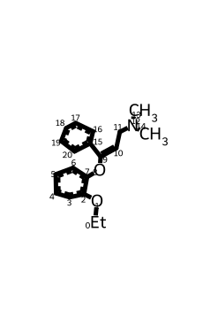 CCOc1ccccc1OC(=CCN(C)C)c1ccccc1